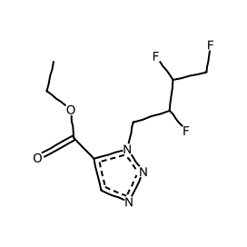 CCOC(=O)c1cnnn1CC(F)C(F)CF